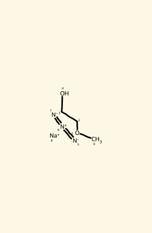 COCCO.[N-]=[N+]=[N-].[Na+]